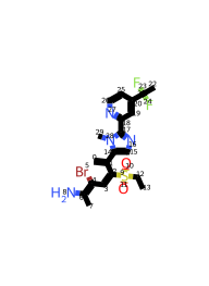 C=C(/C(=C\C(Br)=C(/C)N)S(=O)(=O)CC)c1cnc(-c2cc(C(C)(F)F)ccn2)n1C